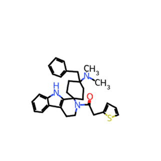 CN(C)C1(Cc2ccccc2)CCC2(CC1)c1[nH]c3ccccc3c1CCN2C(=O)Cc1cccs1